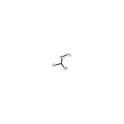 CC[C](O)PC